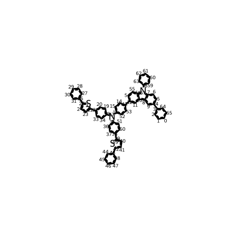 c1ccc(-c2ccc3c(c2)c2cc(-c4ccc(N(c5ccc(-c6ccc(-c7ccccc7)s6)cc5)c5ccc(-c6ccc(-c7ccccc7)s6)cc5)cc4)ccc2n3-c2ccccc2)cc1